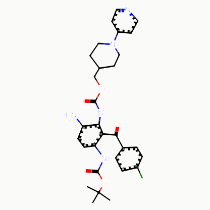 CC(C)(C)OC(=O)Nc1ccc(N)c(NC(=O)OCC2CCN(c3ccncc3)CC2)c1C(=O)c1ccc(Cl)cc1